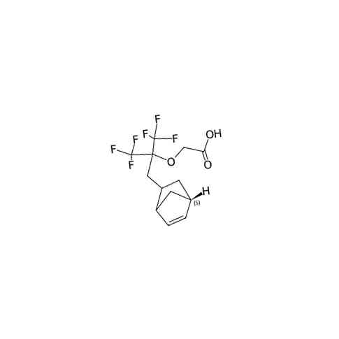 O=C(O)COC(CC1C[C@@H]2C=CC1C2)(C(F)(F)F)C(F)(F)F